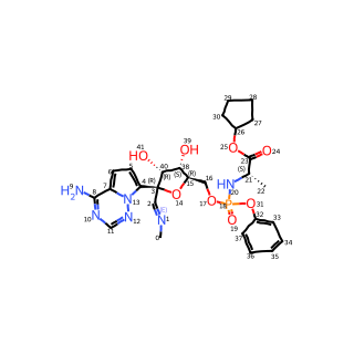 C/N=C/[C@@]1(c2ccc3c(N)ncnn23)O[C@H](COP(=O)(N[C@@H](C)C(=O)OC2CCCC2)Oc2ccccc2)[C@@H](O)[C@H]1O